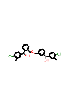 Cc1cc(B(O)c2cccc(COCc3ccccc3B(O)c3ccc(Cl)c(C)c3)c2)ccc1Cl